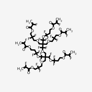 C=C(F)C(=O)OCCC(F)(F)OC(F)C(COCC(F)(F)COC(=O)C(=C)F)(COC(F)(F)C(COCC(F)(F)COC(=O)C(=C)F)(COCC(F)(F)COC(=O)C(=C)F)C(F)(F)OC(F)(F)CCOC(=O)C(=C)F)C(F)(F)OC(F)(F)CCOC(=O)C(=C)F